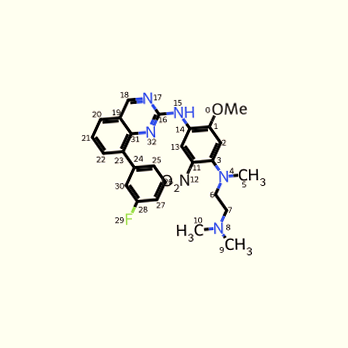 COc1cc(N(C)CCN(C)C)c([N+](=O)[O-])cc1Nc1ncc2cccc(-c3cccc(F)c3)c2n1